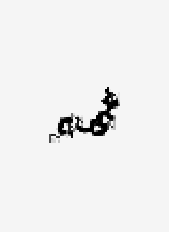 CCc1ccc2nnc(Cc3ccc4ncc(C5=CC(C)N=C5)cc4c3)n2n1